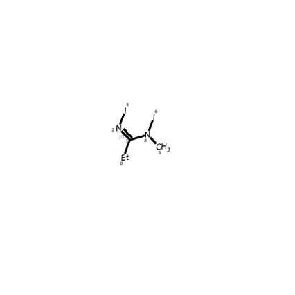 CC/C(=N/I)N(C)I